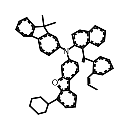 C=C(c1ccccc1/C=C\C)c1c(N(c2ccc3c(c2)C(C)(C)c2ccccc2-3)c2ccc3c(c2)oc2c(C4CCCCC4)cccc23)ccc2ccccc12